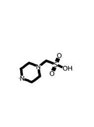 O=S(=O)(O)CN1CC[N]CC1